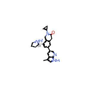 Cc1c[nH]c2ncc(-c3cc4c(c([C@@H]5CCCN5)c3)CN(C3CC3)C(=O)C4)cc12